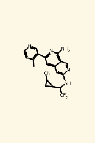 Cc1ccncc1-c1cc2cc(NC(C3CC3C#N)C(F)(F)F)ncc2c(N)n1